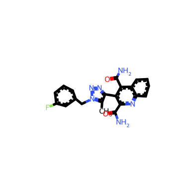 Cc1c(-c2c(C(N)=O)nc3ccccc3c2C(N)=O)nnn1Cc1cccc(F)c1